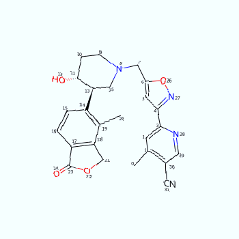 Cc1cc(-c2cc(CN3CC[C@@H](O)[C@H](c4ccc5c(c4C)COC5=O)C3)on2)ncc1C#N